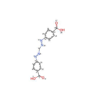 O=C(O)c1ccc(N=NCN=Nc2ccc(C(=O)O)cc2)cc1